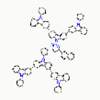 c1ccc(-n2c3ccccc3c3cc(-c4ccc5c(c4)c4cc(-c6ccc7c(c6)c6ccccc6n7-c6ccccc6)ccc4n5-c4cccc(-c5cc(-c6ccc7ccccc7c6)nc(-n6c7ccc(-c8ccc9c(c8)c8ccccc8n9-c8ccccc8)cc7c7cc(-c8ccc9c(c8)c8ccccc8n9-c8ccccc8)ccc76)n5)c4)ccc32)cc1